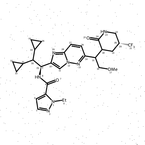 CCn1nccc1C(=O)N[C@H](c1cn2nc(C(COC)C3C[C@@H](C(F)(F)F)CNC3=O)ccc2n1)C(C1CC1)C1CC1